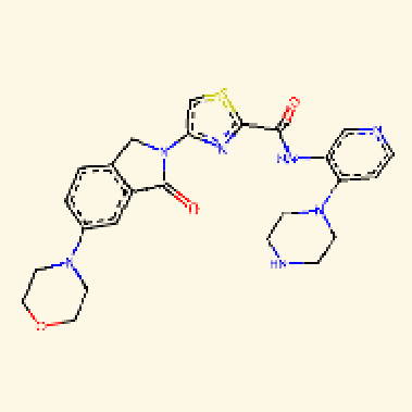 O=C(Nc1cnccc1N1CCNCC1)c1nc(N2Cc3ccc(N4CCOCC4)cc3C2=O)cs1